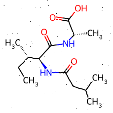 CC[C@H](C)[C@H](NC(=O)CC(C)C)C(=O)N[C@@H](C)C(=O)O